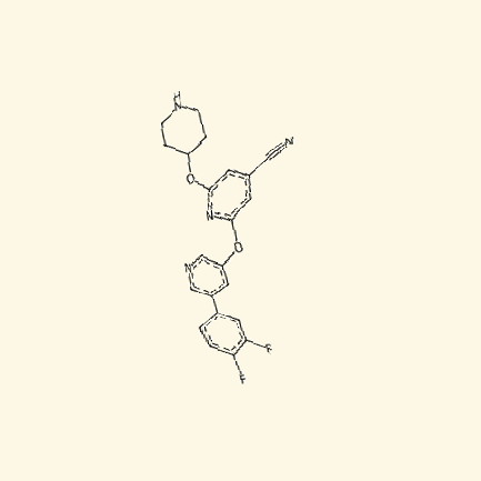 N#Cc1cc(Oc2cncc(-c3ccc(F)c(F)c3)c2)nc(OC2CCNCC2)c1